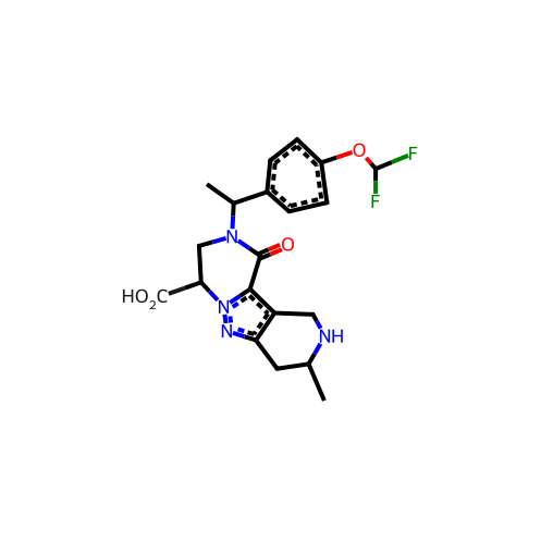 CC1Cc2nn3c(c2CN1)C(=O)N(C(C)c1ccc(OC(F)F)cc1)CC3C(=O)O